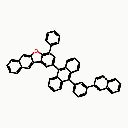 c1ccc(-c2cc(-c3c4ccccc4c(-c4cccc(-c5ccc6ccccc6c5)c4)c4ccccc34)cc3c2oc2cc4ccccc4cc23)cc1